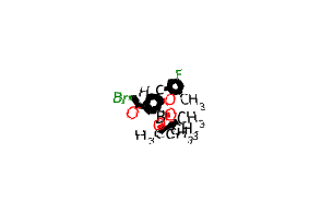 Cc1cc(F)cc(C)c1Oc1ccc(C(=O)CBr)cc1B1OC(C)(C)C(C)(C)O1